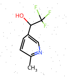 Cc1ccc(C(O)C(F)(F)F)cn1